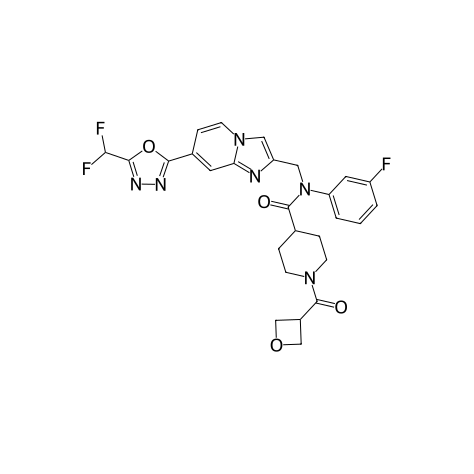 O=C(C1COC1)N1CCC(C(=O)N(Cc2cn3ccc(-c4nnc(C(F)F)o4)cc3n2)c2cccc(F)c2)CC1